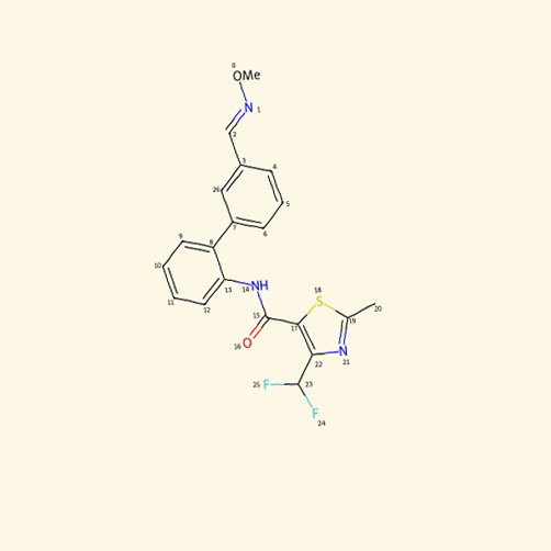 CO/N=C/c1cccc(-c2ccccc2NC(=O)c2sc(C)nc2C(F)F)c1